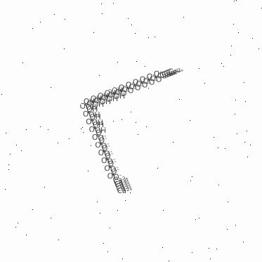 O=C(O)O.O=C(O)O.O=C(O)O.O=C(O)O.O=C(O)O.O=C(O)O.O=C(O)O.O=C(O)O.O=C([O-])[O-].O=C([O-])[O-].O=C([O-])[O-].O=C([O-])[O-].O=C([O-])[O-].O=C([O-])[O-].O=C([O-])[O-].O=C([O-])[O-].O=C([O-])[O-].O=C([O-])[O-].O=C([O-])[O-].O=C([O-])[O-].[Ca+2].[Ca+2].[Ca+2].[Ca+2].[Ca+2].[Ca+2].[Ca+2].[Ca+2].[Ca+2].[Ca+2].[Ca+2].[Ca+2]